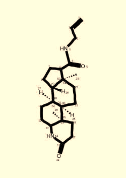 C=CCNC(=O)C1CC[C@H]2[C@@H]3CCC4NC(=O)CC[C@]4(C)[C@@H]3CC[C@]12C